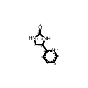 O=C1NCC(c2ccccn2)N1